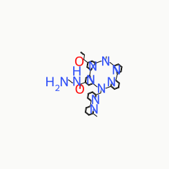 C=CC(=O)c1cc2nc(c1)-c1cc(C(=O)NCCN)cc(n1)CN(Cc1cccc(-c3cccc(C)n3)n1)Cc1cccc(n1)-c1cccc(n1)CN(C)C2